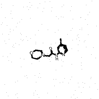 Cc1ccnc(NC(=O)CN2CCOCC2)c1